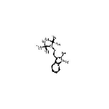 [2H]c1c(CCN(C([2H])([2H])[2H])C([2H])([2H])[2H])c2ccccc2n1[2H]